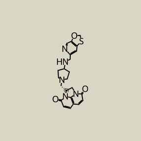 O=c1ccc2ccc(=O)n3c2n1C[C@H]3CN1CCC(NCc2cc3c(cn2)OCS3)CC1